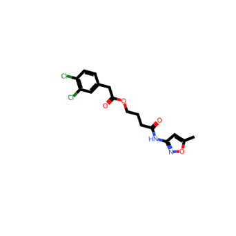 Cc1cc(NC(=O)CCCOC(=O)Cc2ccc(Cl)c(Cl)c2)no1